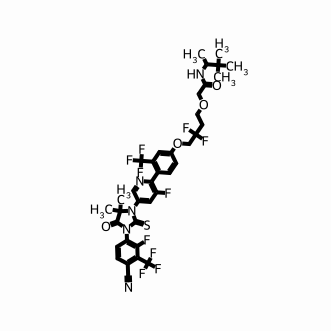 CC(NC(=O)COCCC(F)(F)COc1ccc(-c2ncc(N3C(=S)N(c4ccc(C#N)c(C(F)(F)F)c4F)C(=O)C3(C)C)cc2F)c(C(F)(F)F)c1)C(C)(C)C